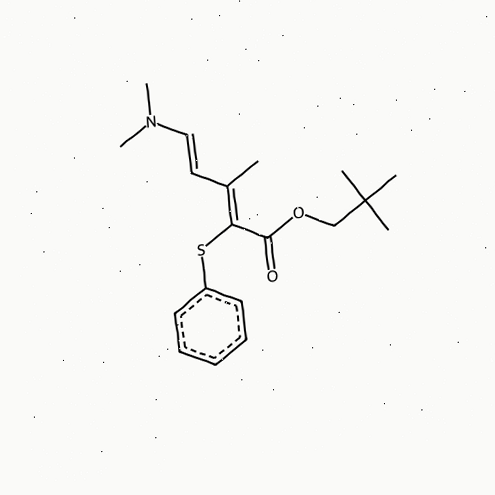 CC(/C=C/N(C)C)=C(/Sc1ccccc1)C(=O)OCC(C)(C)C